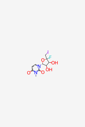 Cn1c(=O)ccn([C@@H]2O[C@](F)(CI)[C@@H](O)[C@H]2O)c1=O